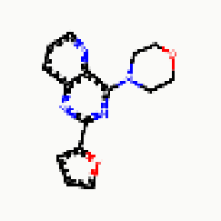 c1coc(-c2nc(N3CCOCC3)c3ncccc3n2)c1